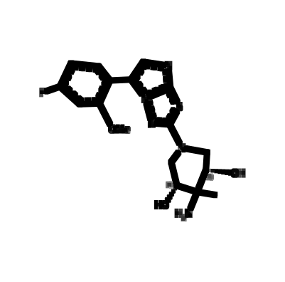 COc1cc(F)ccc1-c1cnc2sc(N3C[C@@H](O)C(C)(N)[C@@H](O)C3)nn12